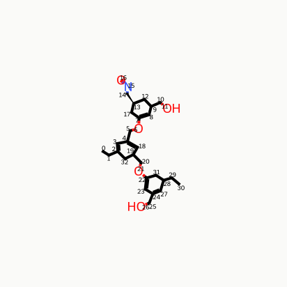 CCC1=CC(COC2=CC(CO)C[C@H](CN=O)C2)=CC(COC2=CC(CO)=CC(CC)C2)C1